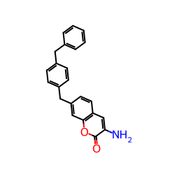 Nc1cc2ccc(Cc3ccc(Cc4ccccc4)cc3)cc2oc1=O